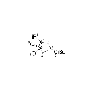 CC(C)COC1CN(C(C)C)S(=O)(=O)C1